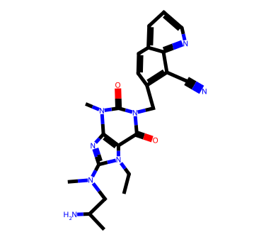 CCn1c(N(C)CC(C)N)nc2c1c(=O)n(Cc1ccc3cccnc3c1C#N)c(=O)n2C